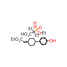 CCOC(=O)C=C1CCC(c2ccc(O)cc2)CC1.CCOP(=O)(O)C(CC)(CC)C(=O)O